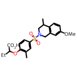 CCC(Oc1ccc(S(=O)(=O)N2Cc3cc(OC)ccc3C(C)C2)cc1C)C(=O)O